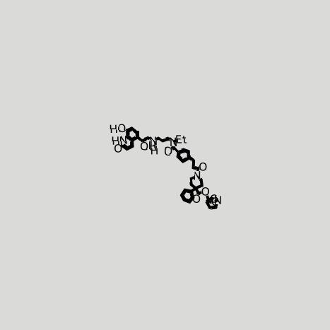 CCN(CCCNCC(O)c1ccc(O)c2[nH]c(=O)ccc12)C(=O)c1ccc(CCC(=O)N2CCC(C(=O)OC3CN4CCC3CC4)(c3ccccc3)CC2)cc1